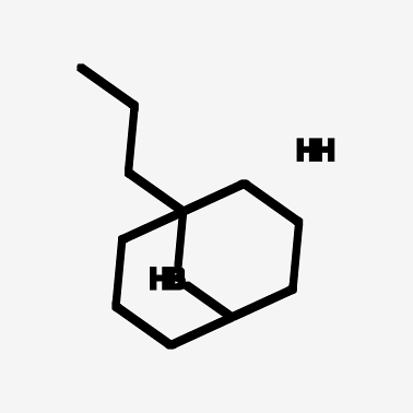 CCCC12BC(CCC1)CCC2.[HH]